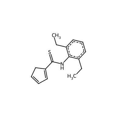 CCc1cccc(CC)c1NC(=S)C1=CC=CC1